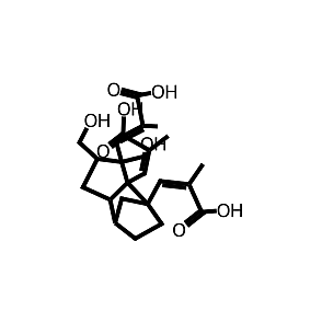 CC(=CC12CCC(C1)C1CC(CO)C(C=C(C)C(=O)O)(CO)C12C=C(C)C(=O)O)C(=O)O